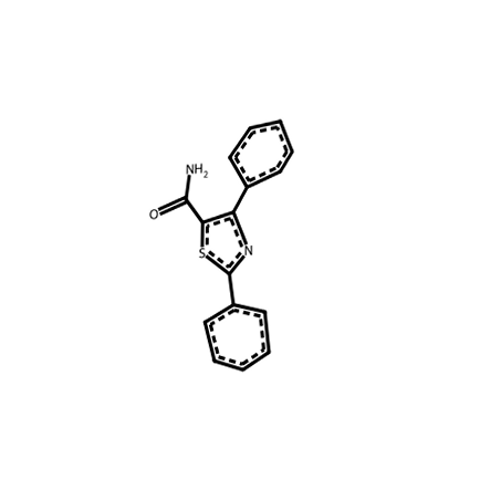 NC(=O)c1sc(-c2ccccc2)nc1-c1ccccc1